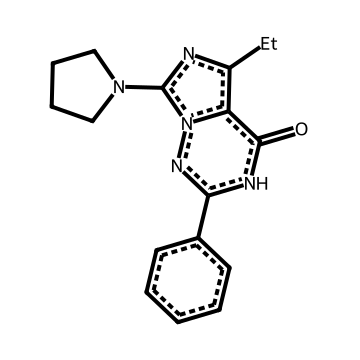 CCc1nc(N2CCCC2)n2nc(-c3ccccc3)[nH]c(=O)c12